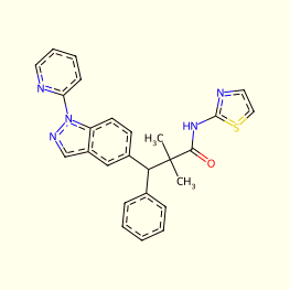 CC(C)(C(=O)Nc1nccs1)C(c1ccccc1)c1ccc2c(cnn2-c2ccccn2)c1